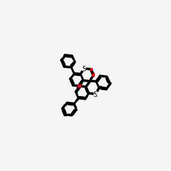 c1ccc(-c2ccc3c(c2)Sc2ccccc2C32c3ccccc3Sc3c(-c4ccccc4)cccc32)cc1